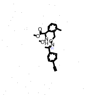 C#Cc1ccc(/C(C)=N/OCc2c(C)cccc2C(NOC)C(=O)OC)cc1